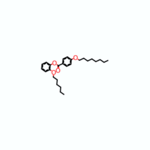 CCCCCCCCOc1ccc(C(=O)Oc2ccccc2OCCCCCC)cc1